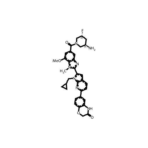 COc1cc(C(=O)N2C[C@H](N)C[C@@H](F)C2)cc2nc(-c3cc4ccc(-c5ccc6c(c5)NC(=O)CO6)nc4n3CC3CC3)n(C)c12